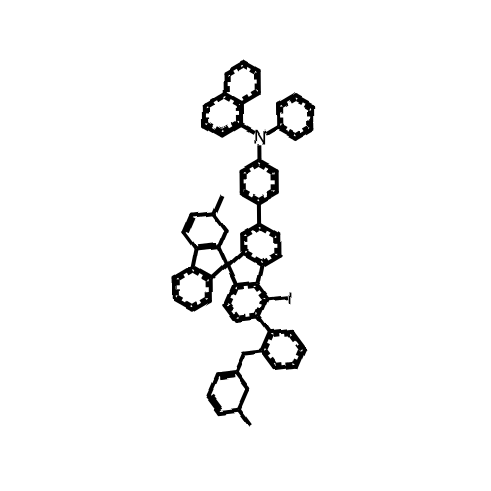 CC1C=CC=C(Cc2ccccc2-c2ccc3c(c2I)-c2ccc(-c4ccc(N(c5ccccc5)c5cccc6ccccc56)cc4)cc2C32C3=C(C=CC(C)C3)c3ccccc32)C1